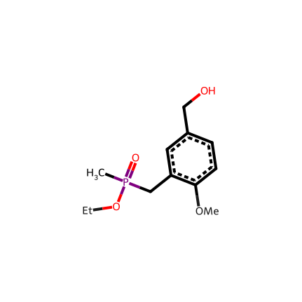 CCOP(C)(=O)Cc1cc(CO)ccc1OC